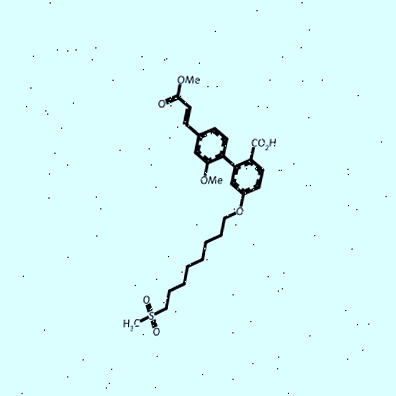 COC(=O)C=Cc1ccc(-c2cc(OCCCCCCCCS(C)(=O)=O)ccc2C(=O)O)c(OC)c1